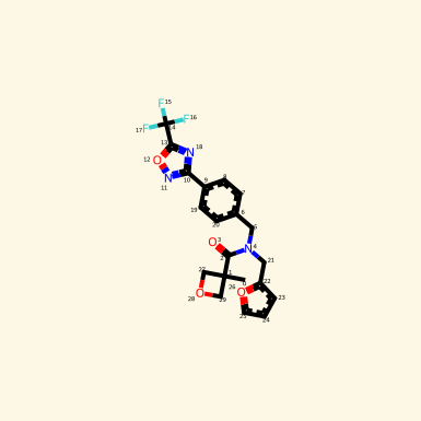 CC1(C(=O)N(Cc2ccc(-c3noc(C(F)(F)F)n3)cc2)Cc2ccco2)COC1